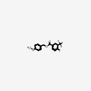 COc1ccc(COC(=O)c2ccc(F)c(C(F)(F)F)c2)cc1